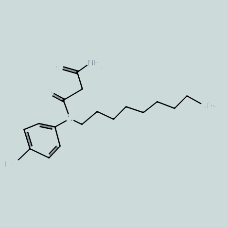 CCCCCCCCCCCCCCCCCCN(C(=O)CC(N)=O)c1ccc(O)cc1